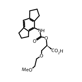 COCCOC[C@@H](OC(=O)Nc1c2c(cc3c1CCC3)CCC2)C(=O)O